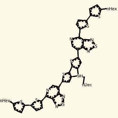 CCCCCCCCCCC[SiH]1c2cc(-c3cnc(-c4ccc(-c5ccc(CCCCCC)s5)s4)c4nsnc34)sc2-c2sc(-c3cnc(-c4ccc(-c5ccc(CCCCCC)s5)s4)c4nsnc34)cc21